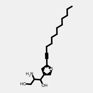 CCCCCCCCCCC#Cc1cc(C(O)C(N)CO)cs1